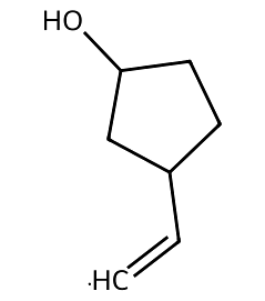 [CH]=CC1CCC(O)C1